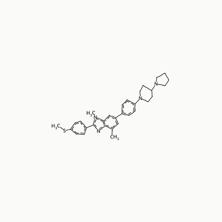 CSc1ccc(-c2nc3c(C)cc(-c4ccc(N5CCC(N6CCCC6)CC5)cc4)cc3n2C)cc1